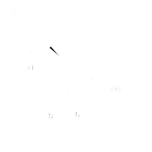 O[C@H](c1c(C2CC2)ccc2cncn12)[C@H]1CC[C@H](c2ccc(F)cc2Cl)CC1